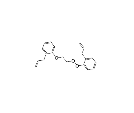 C=CCc1ccccc1OCCOOc1ccccc1CC=C